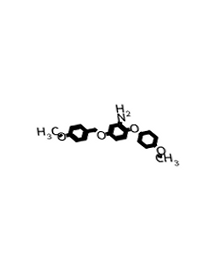 COc1ccc(COc2ccc(OC3CCC(OC)CC3)c(N)c2)cc1